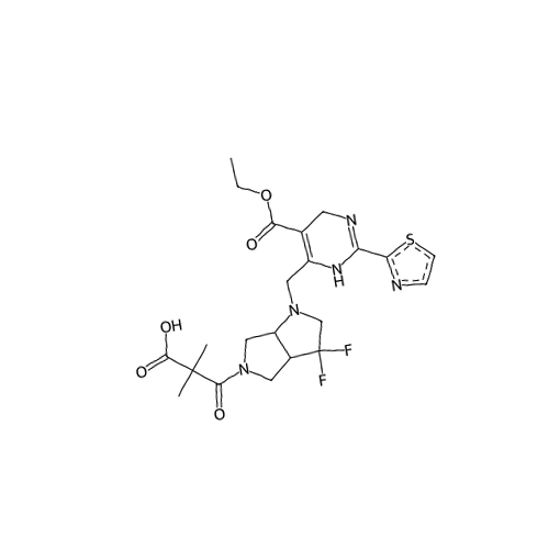 CCOC(=O)C1=C(CN2CC(F)(F)C3CN(C(=O)C(C)(C)C(=O)O)CC32)NC(c2nccs2)=NC1